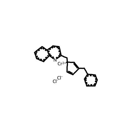 [Cl-].[Cl-].[Cr+2][C]1(Cc2ccc3ccccc3n2)C=CC(Cc2ccccc2)=C1